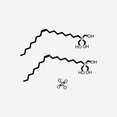 CCCCCCCC/C=C\CCCCCCCC[P+](CO)(CO)CO.CCCCCCCC/C=C\CCCCCCCC[P+](CO)(CO)CO.O=S(=O)([O-])[O-]